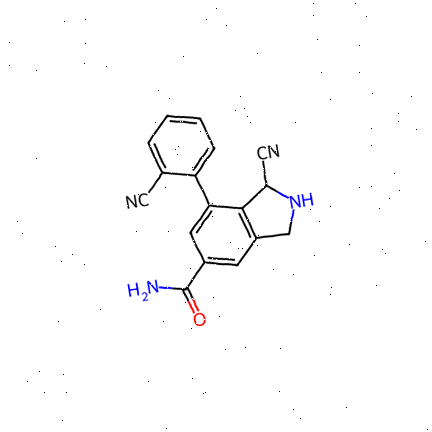 N#Cc1ccccc1-c1cc(C(N)=O)cc2c1C(C#N)NC2